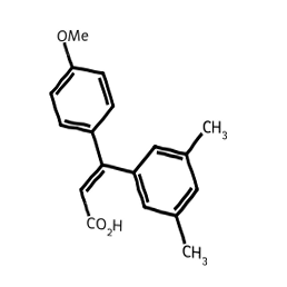 COc1ccc(C(=CC(=O)O)c2cc(C)cc(C)c2)cc1